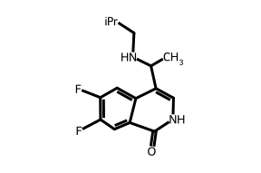 CC(C)CNC(C)c1c[nH]c(=O)c2cc(F)c(F)cc12